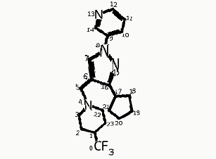 FC(F)(F)C1CCN(Cc2cn(-c3cccnc3)nc2C2CCCC2)CC1